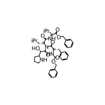 CC(C)C[C@H](C(=O)N[C@H](C(=O)OCc1ccccc1)C(C)C)N(C(=O)C(O)C1CCCN1)C(=O)[C@H](Cc1ccccc1)NC(=O)OCc1ccccc1